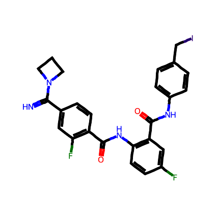 N=C(c1ccc(C(=O)Nc2ccc(F)cc2C(=O)Nc2ccc(CI)cc2)c(F)c1)N1CCC1